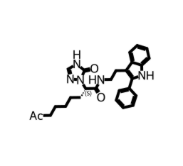 CC(=O)CCCCC[C@@H](C(=O)NCCc1c(-c2ccccc2)[nH]c2ccccc12)n1nc[nH]c1=O